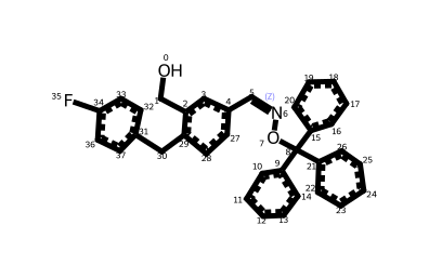 OCc1cc(/C=N\OC(c2ccccc2)(c2ccccc2)c2ccccc2)ccc1Cc1ccc(F)cc1